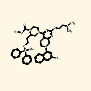 Cc1cc(N2CCc3c(nc(OCCN(C)C)nc3N3CCN(C(=O)OC(C)(C)C)C(CCO[Si](c4ccccc4)(c4ccccc4)C(C)(C)C)C3)C2)c2ccccc2c1